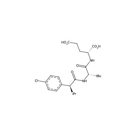 CC(C)[C@H](C(=O)N[C@H](C(=O)N[C@H](CCC(=O)O)C(=O)O)C(C)(C)C)c1ccc(Cl)cc1